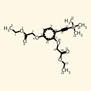 CCOC(=O)COc1ccc(C#C[Si](C)(C)C)c(OCC(=O)OCC)c1